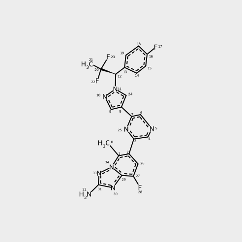 Cc1c(-c2cncc(-c3cnn([C@H](c4ccc(F)cc4)C(C)(F)F)c3)n2)cc(F)c2nc(N)nn12